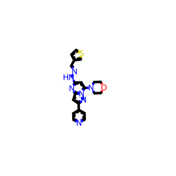 C(=N\Nc1cc(N2CCOCC2)n2nc(-c3ccncc3)cc2n1)/c1ccsc1